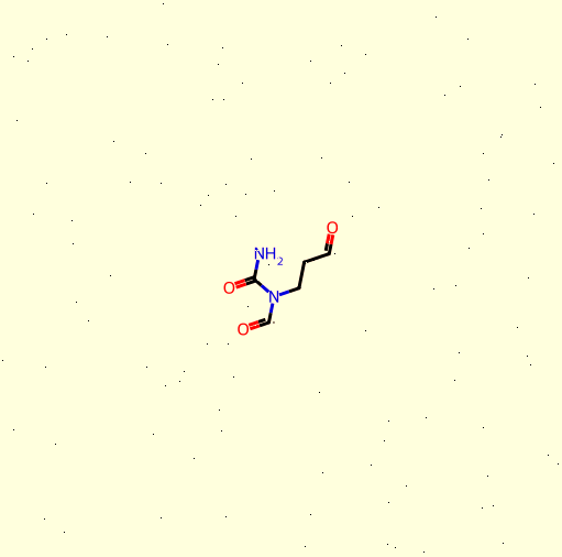 NC(=O)N([C]=O)CCC=O